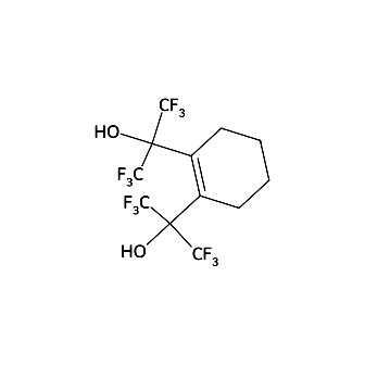 OC(C1=C(C(O)(C(F)(F)F)C(F)(F)F)CCCC1)(C(F)(F)F)C(F)(F)F